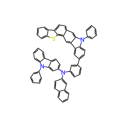 c1ccc(-n2c3ccccc3c3ccc(N(c4cccc(-c5ccc6c(c5)c5cc7c(ccc8c9ccccc9sc78)cc5n6-c5ccccc5)c4)c4ccc5ccccc5c4)cc32)cc1